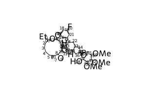 CC[C@H]1CCCC[C@@H](C)C(=O)C2=C[C@@H]3C(C(c4cccc(F)c4)CC4C[C@@H](OC(O)C(OC)C(OC)C(OC)C(C)C)C[C@H]43)[C@@H]2CC(=O)O1